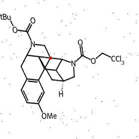 COc1ccc2c(c1)C13CCN(C(=O)OC(C)(C)C)C(C2)C12CCC1C3[C@@H](CN1C(=O)OCC(Cl)(Cl)Cl)C2